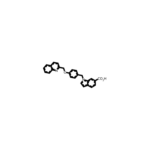 O=C(O)c1ccc2ccn(Cc3ccc(OCc4ccc5ccccc5n4)cc3)c2c1